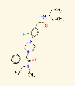 CCC(CC)NC(=O)Cc1ccc(N2CCN(C(C(=O)N(CC)CC)c3ccccc3)CC2)c(F)c1